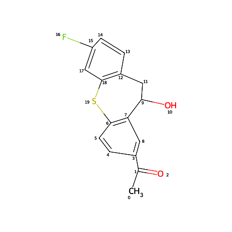 CC(=O)c1ccc2c(c1)C(O)Cc1ccc(F)cc1S2